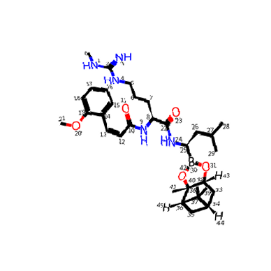 CNC(=N)NCCC[C@H](NC(=O)/C=C\c1ccccc1OC)C(=O)N[C@@H](CC(C)C)B1O[C@@H]2C[C@@H]3C[C@@H](C3(C)C)[C@]2(C)O1